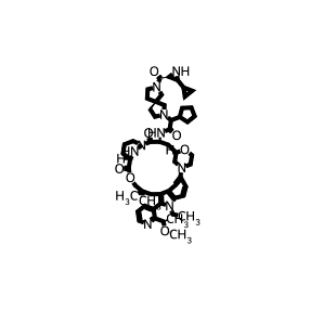 CCn1c(-c2cccnc2[C@H](C)OC)c2c3cc(ccc31)N1CCO[C@@H](C[C@H](NC(=O)C(C3CCCC3)N3CC[C@]4(CCN(C(=O)[C@@H]5NC5C5CC5)C4)C3)C(=O)N3CCC[C@H](N3)C(=O)OCC(C)(C)C2)C1